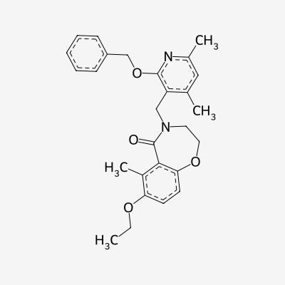 CCOc1ccc2c(c1C)C(=O)N(Cc1c(C)cc(C)nc1OCc1ccccc1)CCO2